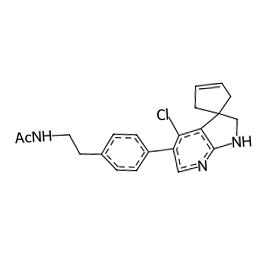 CC(=O)NCCc1ccc(-c2cnc3c(c2Cl)C2(CC=CC2)CN3)cc1